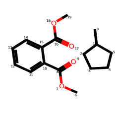 CC1CCCC1.COC(=O)c1ccccc1C(=O)OC